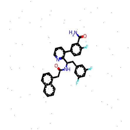 NC(=O)c1cc(-c2cccnc2C(Cc2cc(F)cc(F)c2)NC(=O)Cc2cccc3ccccc23)ccc1F